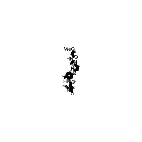 COC=CC(=O)Nc1cn2nc(Oc3ccc(C)c(NC(=O)c4cc(C)nn4C)c3)ccc2n1